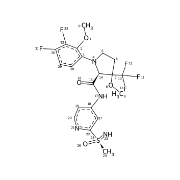 COc1c(N2CCC(OC)(C(F)(F)F)[C@H]2C(=O)Nc2ccnc([S@](C)(=N)=O)c2)ccc(F)c1F